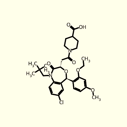 CCOc1cc(OC)ccc1[C@@H]1O[C@@H](CC(=O)N2CCC(C(=O)O)CC2)C(=O)N(CC(C)(C)C)c2ccc(Cl)cc21